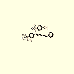 C[N+](C)(C)c1ccc(C=CC=CC=Cc2ccccc2)cc1.Cc1ccc(S(=O)(=O)[O-])cc1